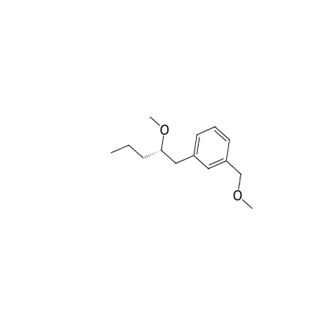 CCC[C@@H](Cc1cccc(COC)c1)OC